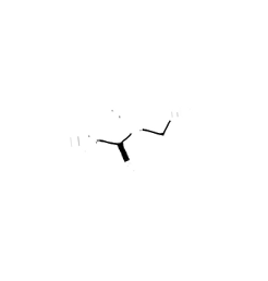 CCCCSC(N)=S.N